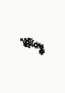 Nc1cc(C(=O)NCC2CCN(Cc3cnc(-c4ccccn4)s3)CC2)c2nccn2c1N